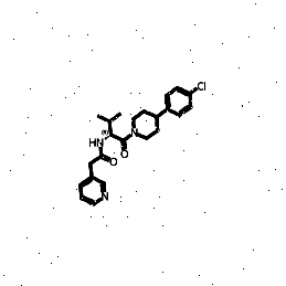 CC(C)[C@@H](NC(=O)Cc1cccnc1)C(=O)N1CCC(c2ccc(Cl)cc2)CC1